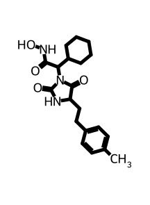 Cc1ccc(CCC2NC(=O)N(C(C(=O)NO)C3CCCCC3)C2=O)cc1